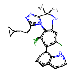 CC1(C)Nc2cc(F)c(-c3cccc4cc[nH]c34)c(F)c2-n2c(CC3CC3)nnc21